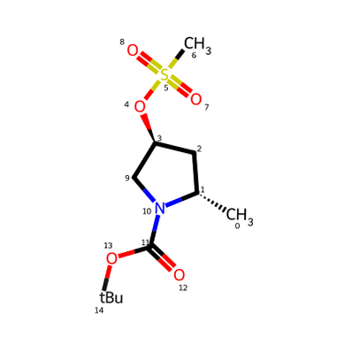 C[C@H]1C[C@H](OS(C)(=O)=O)CN1C(=O)OC(C)(C)C